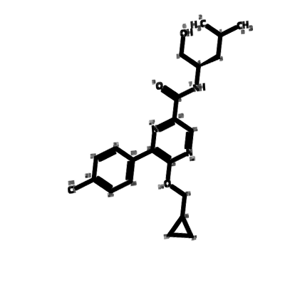 CC(C)C[C@H](CO)NC(=O)c1cnc(OCC2CC2)c(-c2ccc(Cl)cc2)n1